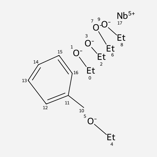 CC[O-].CC[O-].CC[O-].CC[O-].CC[O-].Cc1ccccc1.[Nb+5]